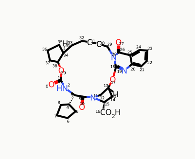 O=C1N[C@@H](C2CCCC2)C(=O)N2C[C@@H](C[C@H]2C(=O)O)Oc2nc3ccccc3c(=O)n2CCCCC[C@@H]2CCCC2O1